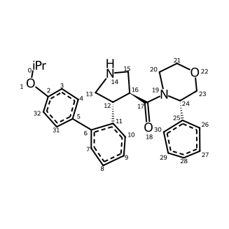 CC(C)Oc1ccc(-c2ccccc2[C@@H]2CNC[C@H]2C(=O)N2CCOC[C@@H]2c2ccccc2)cc1